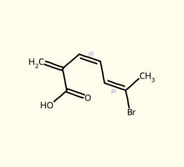 C=C(/C=C\C=C(/C)Br)C(=O)O